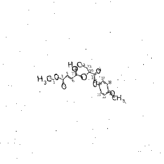 CCOC(=O)C=CC(=O)OC(CC)C(=O)Oc1ccc(OC)cc1